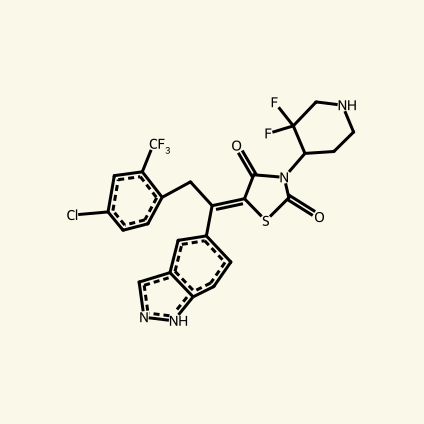 O=C1S/C(=C(/Cc2ccc(Cl)cc2C(F)(F)F)c2ccc3[nH]ncc3c2)C(=O)N1C1CCNCC1(F)F